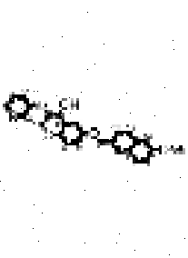 COc1ccc2cc(COc3ccc4c(c3)[C@H](O)[C@H](Oc3cccnc3)CO4)ccc2c1